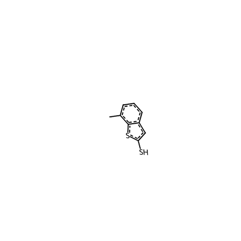 Cc1cccc2cc(S)sc12